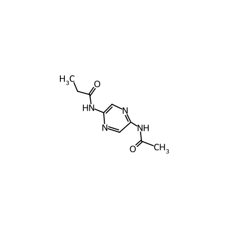 CCC(=O)Nc1cnc(NC(C)=O)cn1